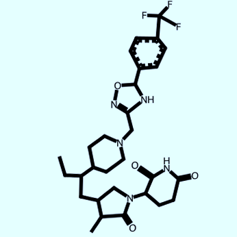 CCC(CC1CN(C2CCC(=O)NC2=O)C(=O)C1C)C1CCN(CC2=NOC(c3ccc(C(F)(F)F)cc3)N2)CC1